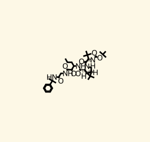 CCCC(NC(=O)[C@@H]1[C@@H]2[C@H](CN1C(=O)[C@@H](NC(=O)OC(C)(C)C)C(C)(C)C)C2(C)C)C(=O)C(=O)NCC(=O)NC(C)(C)c1ccccc1